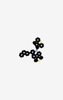 c1ccc2c(c1)Sc1ccccc1C21c2ccccc2-c2cc(N(c3ccc(-c4ccc5c(ccc6ccccc65)c4)cc3)c3cccc4c3-c3ccccc3C43c4ccccc4Sc4ccccc43)ccc21